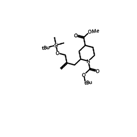 C=C(CO[Si](C)(C)C(C)(C)C)CC1CC(C(=O)OC)CCN1C(=O)OC(C)(C)C